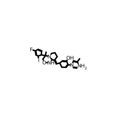 C=CN(/C=C(/C)N)C1=CCC(/C=C2\CCCN3C2NOCC3(C)C2C=CC(F)=CC2I)C=C1O